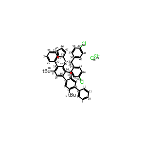 CC(C)(C)c1cc2c(cc1-c1ccccc1)Cc1c-2cc(C(C)(C)C)c(-c2ccccc2)[c]1[Zr+2](=[C](c1ccc(Cl)cc1)c1ccc(Cl)cc1)[CH]1C=CC=C1.[Cl-].[Cl-]